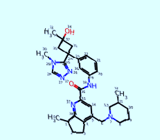 CC1CCc2c(CN3CCC[C@H](C)C3)cc(C(=O)Nc3cccc(C4(c5nncn5C)CC(C)(O)C4)c3)nc21